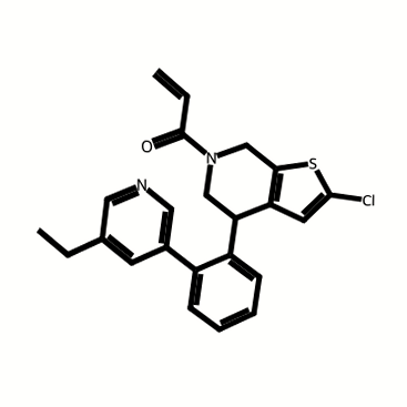 C=CC(=O)N1Cc2sc(Cl)cc2C(c2ccccc2-c2cncc(CC)c2)C1